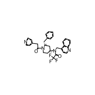 O=C(Cc1ccncc1)N1CC[C@H](N(Cc2ccnc3ccccc23)C(=O)C(F)(F)F)C[C@H]1Cc1ccccc1